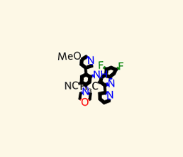 COc1cncc(-c2cc(C#N)c(N3CCOCC3)cc2Nc2c(C)c(-c3ccccn3)nc3cc(F)cc(F)c23)c1